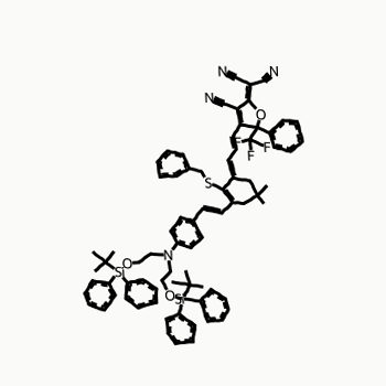 CC1(C)CC(/C=C/c2ccc(N(CCO[Si](c3ccccc3)(c3ccccc3)C(C)(C)C)CCO[Si](c3ccccc3)(c3ccccc3)C(C)(C)C)cc2)=C(SCc2ccccc2)C(=C/C=C/C2=C(C#N)C(=C(C#N)C#N)OC2(c2ccccc2)C(F)(F)F)/C1